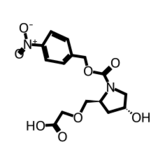 O=C(O)COC[C@@H]1C[C@@H](O)CN1C(=O)OCc1ccc([N+](=O)[O-])cc1